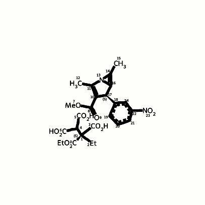 CCOC(=O)[C@](CC)(C(=O)O)C(C(=O)O)C(=O)O.COC(=O)C1=C(C)N2C(C)=C2[C@H]1c1cccc([N+](=O)[O-])c1